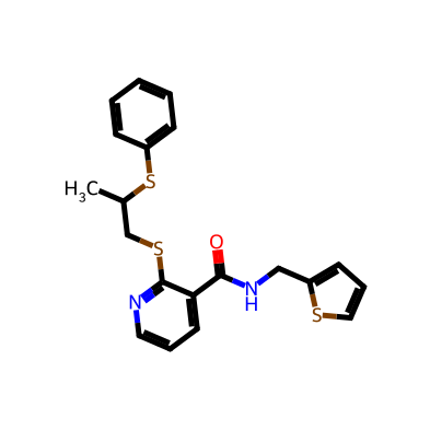 CC(CSc1ncccc1C(=O)NCc1cccs1)Sc1ccccc1